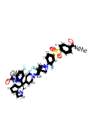 CNC(=O)c1ccc(S(=O)(=O)c2ccc(N3CC(F)(CN4CCC([C@@](CN5CCC5)(c5cccc(F)c5)[C@H]5CCC[C@@H]5NC(=O)OC)CC4)C3)c(F)c2)cc1